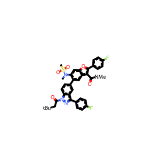 CNC(=O)c1c(-c2ccc(F)cc2)oc2cc(N(C)S(C)(=O)=O)c(-c3ccc4c(c3)c(-c3ccc(F)cc3)nn4C(=O)CC(C)(C)C)cc12